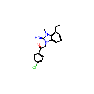 CCc1cccc2c1n(C)c(=N)n2CC(=O)c1ccc(Cl)cc1